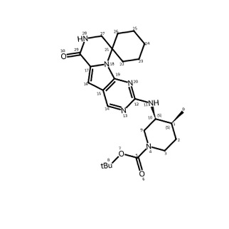 C[C@H]1CCN(C(=O)OC(C)(C)C)C[C@H]1Nc1ncc2cc3n(c2n1)C1(CCCCC1)CNC3=O